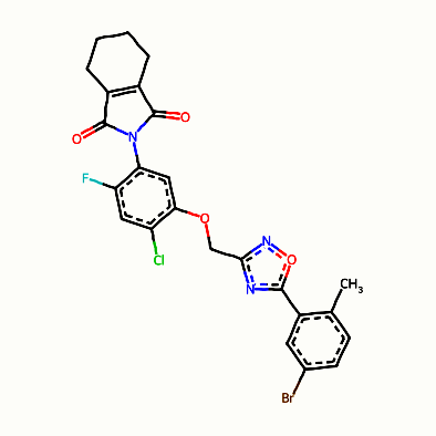 Cc1ccc(Br)cc1-c1nc(COc2cc(N3C(=O)C4=C(CCCC4)C3=O)c(F)cc2Cl)no1